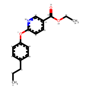 CCCc1ccc(Oc2ccc(C(=O)OCC)cn2)cc1